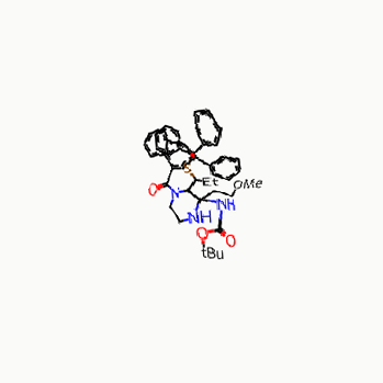 CCC(SC(c1ccccc1)(c1ccccc1)c1ccccc1)C1N(C(=O)c2cccc3ccccc23)CCNC1(CCOC)NC(=O)OC(C)(C)C